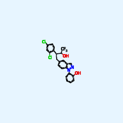 Oc1ccccc1-n1ncc2cc(CC(c3ccc(Cl)cc3Cl)C(O)C(F)(F)F)ccc21